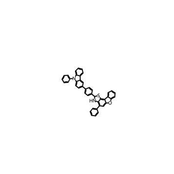 c1ccc(-c2cc3oc4ccccc4c3c3c2NC(c2ccc(-c4ccc5c(c4)c4ccccc4n5-c4ccccc4)cc2)S3)cc1